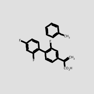 C=C(C(=O)O)c1ccc(-c2ccc(F)cc2F)c(F)c1.Cc1ccccc1